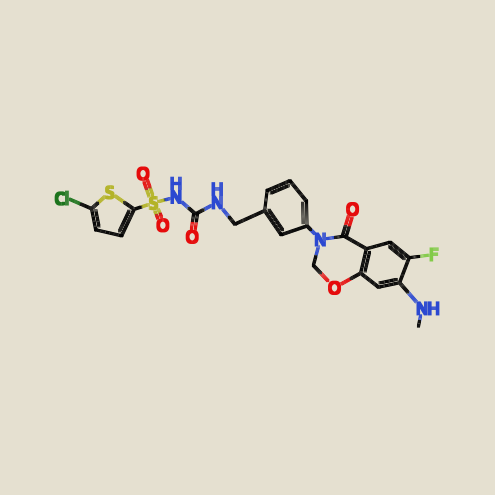 CNc1cc2c(cc1F)C(=O)N(c1cccc(CNC(=O)NS(=O)(=O)c3ccc(Cl)s3)c1)CO2